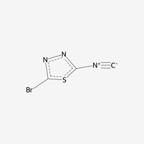 [C-]#[N+]c1nnc(Br)s1